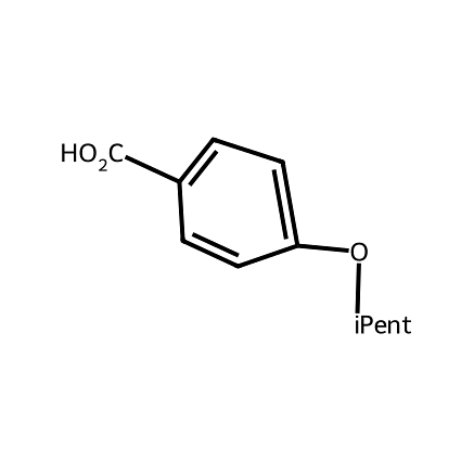 CCCC(C)Oc1ccc(C(=O)O)cc1